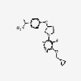 C[C@H](N)c1ccc(OC2CCN(c3ncnc(OCC4CC4)c3F)C2)cc1